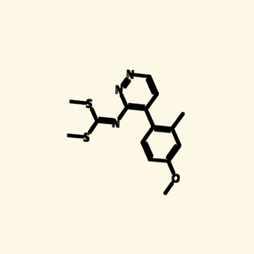 COc1ccc(-c2ccnnc2N=C(SC)SC)c(C)c1